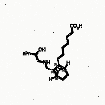 CCCC(O)CNC[C@@H]1[C@@H](CCCCCCC(=O)O)[C@@H]2CC[C@H]1O2